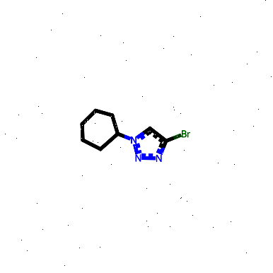 Brc1cn(C2CCCCC2)nn1